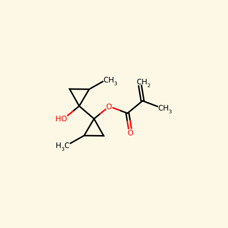 C=C(C)C(=O)OC1(C2(O)CC2C)CC1C